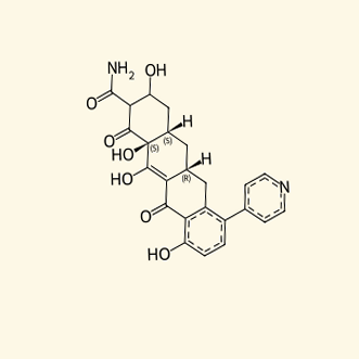 NC(=O)C1C(=O)[C@@]2(O)C(O)=C3C(=O)c4c(O)ccc(-c5ccncc5)c4C[C@H]3C[C@H]2CC1O